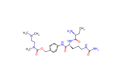 CC[C@H](N)C(=O)N[C@@H](CCCNC(N)=O)C(=O)Nc1ccc(COC(=O)N(C)CCN(C)C)cc1